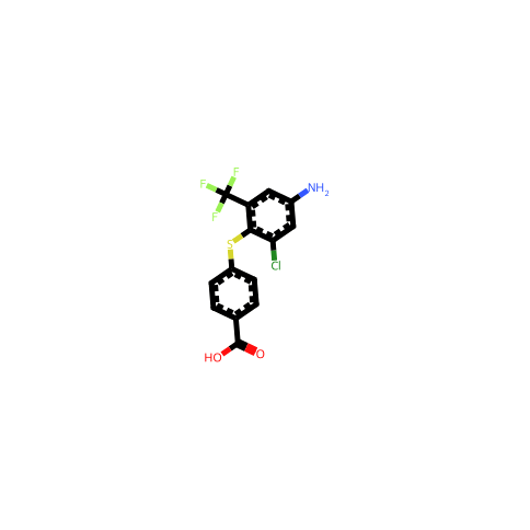 Nc1cc(Cl)c(Sc2ccc(C(=O)O)cc2)c(C(F)(F)F)c1